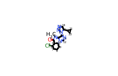 Cn1c(=O)c2c(Cl)cccc2n2cnc(-n3nncc3C3CC3)c12